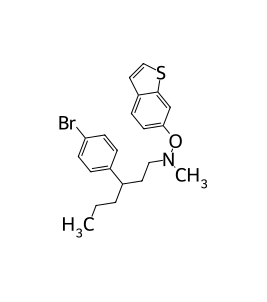 CCCC(CCN(C)Oc1ccc2ccsc2c1)c1ccc(Br)cc1